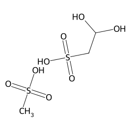 CS(=O)(=O)O.O=S(=O)(O)CC(O)O